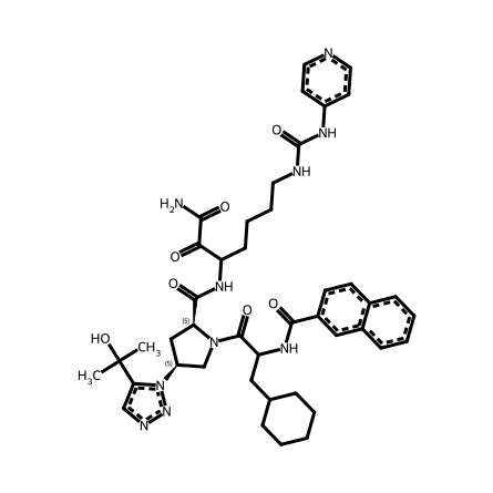 CC(C)(O)c1cnnn1[C@H]1C[C@@H](C(=O)NC(CCCCNC(=O)Nc2ccncc2)C(=O)C(N)=O)N(C(=O)C(CC2CCCCC2)NC(=O)c2ccc3ccccc3c2)C1